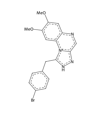 COc1cc2ncc3n[nH]c(Cc4ccc(Br)cc4)[n+]3c2cc1OC